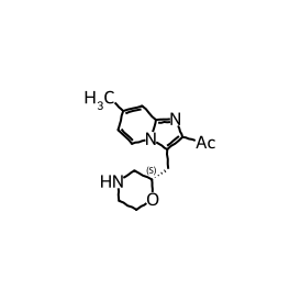 CC(=O)c1nc2cc(C)ccn2c1C[C@H]1CNCCO1